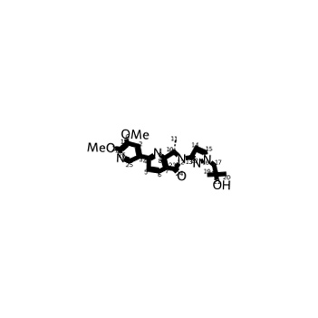 COc1cc(-c2ccc3c(n2)[C@H](C)N(c2ccn(CC(C)(C)O)n2)C3=O)cnc1OC